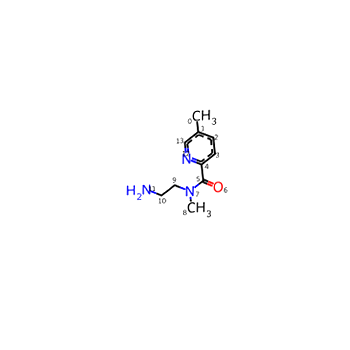 Cc1ccc(C(=O)N(C)CCN)nc1